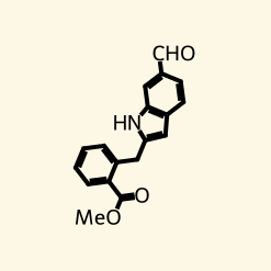 COC(=O)c1ccccc1Cc1cc2ccc(C=O)cc2[nH]1